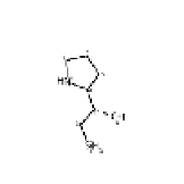 O[C@H](C[SiH3])C1CCCN1